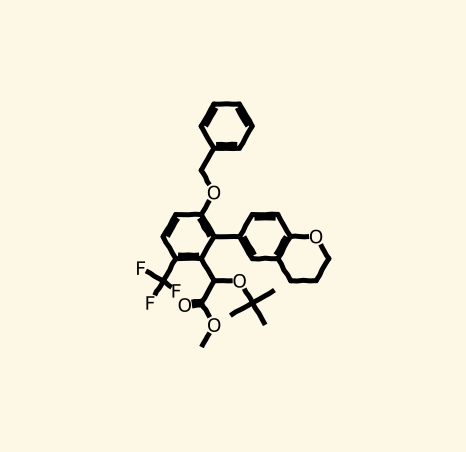 COC(=O)C(OC(C)(C)C)c1c(C(F)(F)F)ccc(OCc2ccccc2)c1-c1ccc2c(c1)CCCO2